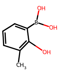 Cc1cccc(B(O)O)c1O